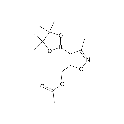 CC(=O)OCc1onc(C)c1B1OC(C)(C)C(C)(C)O1